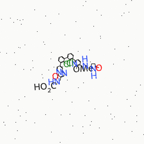 COc1nc(-c2cccc(-c3cccc(-c4ccn5c(=O)c(CNCC(=O)O)cnc5c4)c3Cl)c2Cl)ccc1CNC[C@@H]1CCC(=O)N1